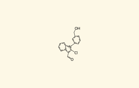 O=Cc1c(Cl)n(-c2cccc(CO)c2)c2ccccc12